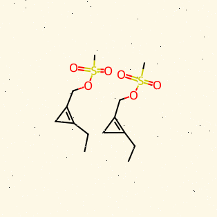 CCC1=C(COS(C)(=O)=O)C1.CCC1=C(COS(C)(=O)=O)C1